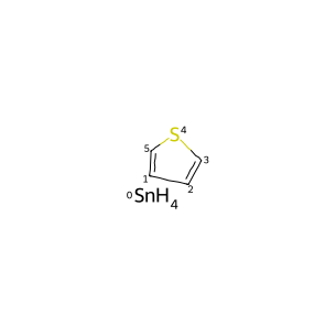 [SnH4].c1ccsc1